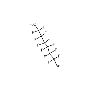 CC(=O)C(F)(F)C(F)(F)C(F)(F)C(F)(F)C(F)(F)C(F)(F)C(F)(F)F